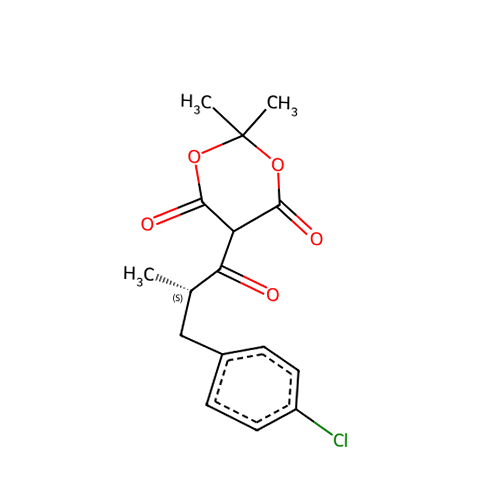 C[C@@H](Cc1ccc(Cl)cc1)C(=O)C1C(=O)OC(C)(C)OC1=O